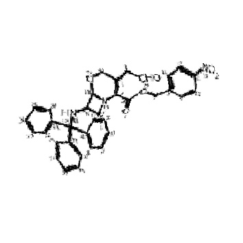 O=CCC1=C(C(=O)OCc2ccc([N+](=O)[O-])cc2)N2C(=O)C(NC(c3ccccc3)(c3ccccc3)c3ccccc3)C2OC1